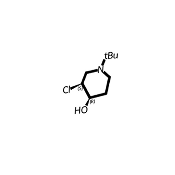 CC(C)(C)N1CC[C@@H](O)[C@@H](Cl)C1